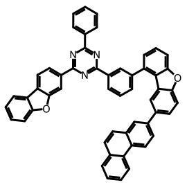 c1ccc(-c2nc(-c3cccc(-c4cccc5oc6ccc(-c7ccc8c(ccc9ccccc98)c7)cc6c45)c3)nc(-c3ccc4c(c3)oc3ccccc34)n2)cc1